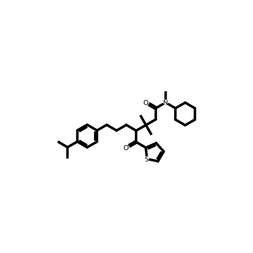 CC(C)c1ccc(CCCC(C(=O)c2cccs2)C(C)(C)CC(=O)N(C)C2CCCCC2)cc1